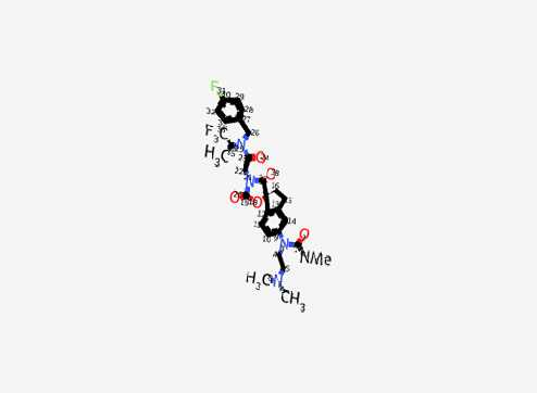 CNC(=O)N(CCN(C)C)c1ccc2c(c1)CC[C@@]21OC(=O)N(CC(=O)N(Cc2ccc(F)cc2)[C@@H](C)C(F)(F)F)C1=O